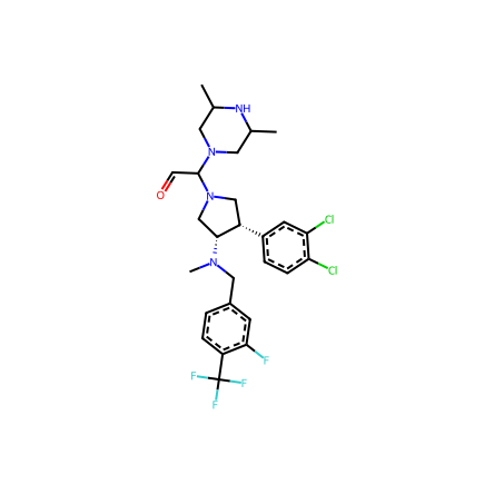 CC1CN(C(C=O)N2C[C@H](c3ccc(Cl)c(Cl)c3)[C@H](N(C)Cc3ccc(C(F)(F)F)c(F)c3)C2)CC(C)N1